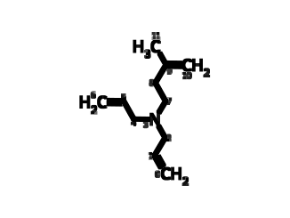 C=CCN(CC=C)CCC(=C)C